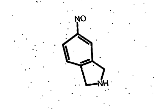 O=Nc1ccc2c(c1)CNC2